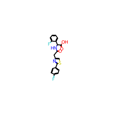 O=C(Cc1csc(-c2ccc(F)cc2)n1)NC(C(=O)O)c1ccccc1F